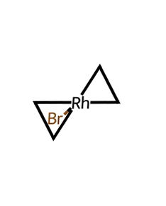 [Br][Rh]12([CH2][CH2]1)[CH2][CH2]2